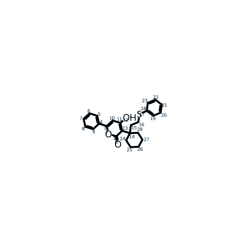 O=c1oc(-c2ccccc2)cc(O)c1C1(CCSc2ccccc2)CCCCC1